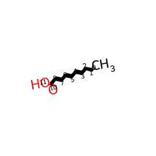 CCC/C=C/C=C/C=C/C(=O)O